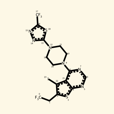 FC(F)(F)Cc1sc2ncnc(N3CCN(c4nnc(C(F)(F)F)s4)CC3)c2c1I